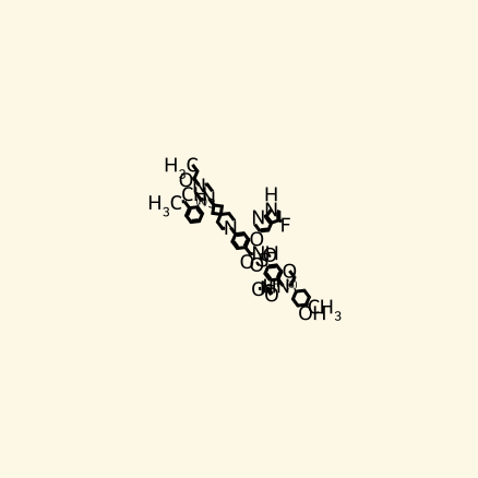 CCC(=O)N1CCN(C2CC3(CCN(c4ccc(C(=O)NS(=O)(=O)c5cc6c(c([N+](=O)[O-])c5)N[C@@H](C5CCC(C)(O)CC5)CO6)c(Oc5cnc6[nH]cc(F)c6c5)c4)CC3)C2)[C@H](c2ccccc2C(C)C)C1